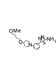 COCCCCOC1CCN(c2cccc(-c3nnc(N)s3)c2)CC1